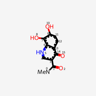 CNC(=O)c1c[nH]c2c(O)c(O)ccc2c1=O